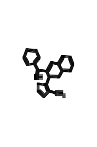 CC1=C(c2cc3ccccc3cc2C(=N)c2ccccc2)CC=C1